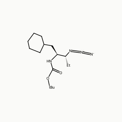 CC[C@@H](N=[N+]=[N-])[C@H](CC1CCCCC1)NC(=O)OC(C)(C)C